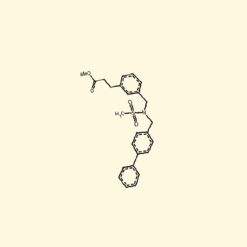 COC(=O)CCc1cccc(CN(Cc2ccc(-c3ccccc3)cc2)S(C)(=O)=O)c1